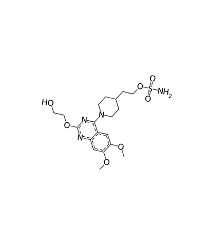 COc1cc2nc(OCCO)nc(N3CCC(CCOS(N)(=O)=O)CC3)c2cc1OC